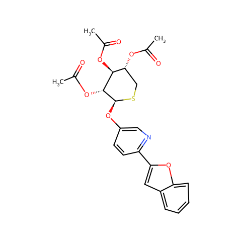 CC(=O)O[C@@H]1[C@@H](OC(C)=O)[C@H](OC(C)=O)CS[C@H]1Oc1ccc(-c2cc3ccccc3o2)nc1